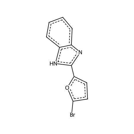 Brc1ccc(-c2nc3ccccc3[nH]2)o1